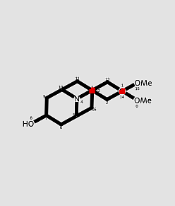 COOCCN1C2CC(O)CC1CC(COOC)C2